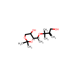 C=C(CO)C(C)(C)O[C@@H](C)[C@@H]1OC(C)(C)OCC1O